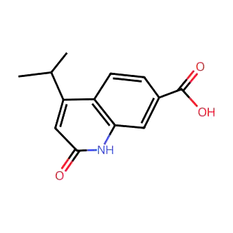 CC(C)c1cc(=O)[nH]c2cc(C(=O)O)ccc12